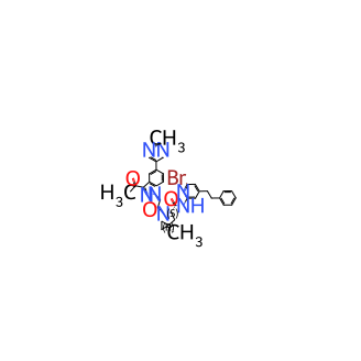 CC(=O)c1nn(CC(=O)N2C3C[C@]3(C)C[C@H]2C(=O)Nc2cc(CCc3ccccc3)cc(Br)n2)c2ccc(-c3cnc(C)nc3)cc12